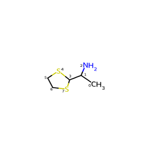 CC(N)C1SCCS1